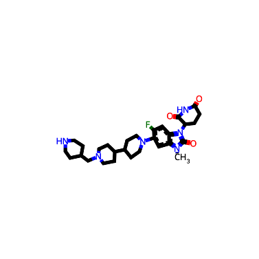 Cn1c(=O)n(C2CCC(=O)NC2=O)c2cc(F)c(N3CCC(C4CCN(CC5CCNCC5)CC4)CC3)cc21